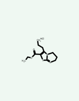 CCCC1=C(C(=O)OCC)SC2=NCCCN21.Cl